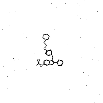 CC(=O)Oc1ccc2c(c1)CC(c1ccccc1)=C2Cc1ccc(OCCN2CCCCC2)cc1